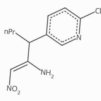 CCCC(C(N)=C[N+](=O)[O-])c1ccc(Cl)nc1